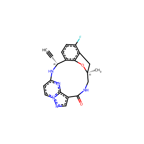 C#C[C@H]1Nc2ccn3ncc(c3n2)C(=O)NC[C@]2(C)Cc3c(F)ccc1c3O2